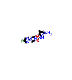 Cc1cc(N)nc(NS(=O)(=O)N2CCN(c3ncc(F)cn3)CC2)c1